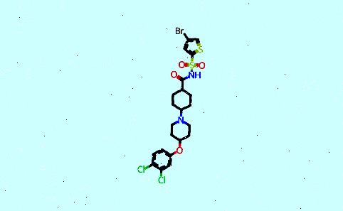 O=C(NS(=O)(=O)c1cc(Br)cs1)C1CCC(N2CCC(Oc3ccc(Cl)c(Cl)c3)CC2)CC1